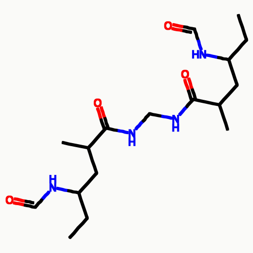 CCC(CC(C)C(=O)NCNC(=O)C(C)CC(CC)NC=O)NC=O